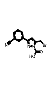 N#Cc1cccc(-c2cc(CBr)n(C(=O)O)n2)c1